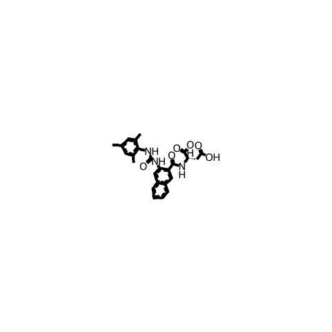 Cc1cc(C)c(NC(=O)Nc2cc3ccccc3cc2C(=O)N[C@@H](CC(=O)O)C(=O)O)c(C)c1